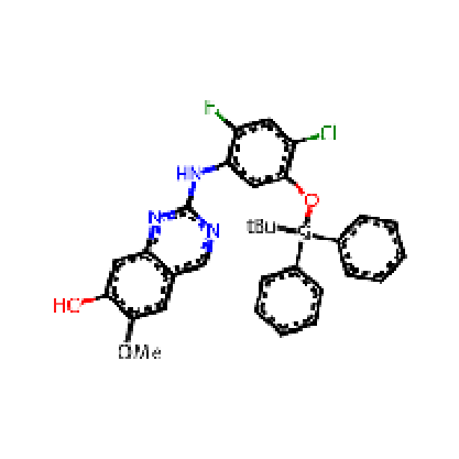 COc1cc2cnc(Nc3cc(O[Si](c4ccccc4)(c4ccccc4)C(C)(C)C)c(Cl)cc3F)nc2cc1O